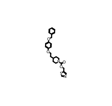 O=C(OCc1cncs1)N1CCC(CCOc2ccc(OCc3ccccc3)cc2)CC1